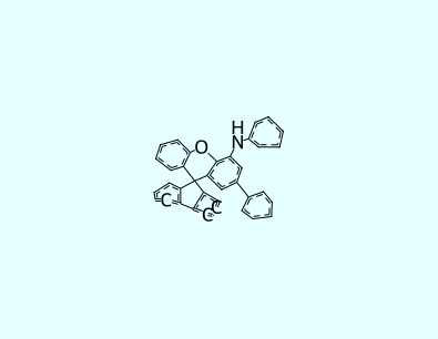 c1ccc(Nc2cc(-c3ccccc3)cc3c2Oc2ccccc2C32c3ccccc3-c3ccccc32)cc1